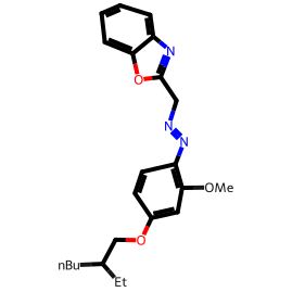 CCCCC(CC)COc1ccc(N=NCc2nc3ccccc3o2)c(OC)c1